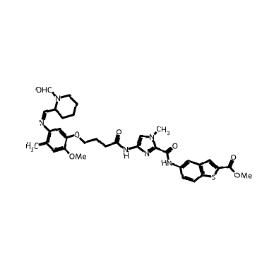 COC(=O)c1cc2cc(NC(=O)c3nc(NC(=O)CCCOc4cc(/N=C\C5CCCCN5C=O)c(C)cc4OC)cn3C)ccc2s1